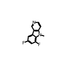 Cn1c2ccncc2c2cc(F)cc(F)c21